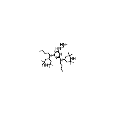 CCCCN(c1nc(NCNC)nc(N(CCCC)C2CC(C)(C)NC(C)(C)C2)n1)C1CC(C)(C)NC(C)(C)C1